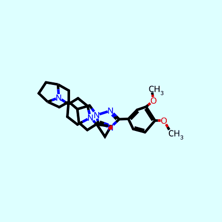 COc1ccc(-c2nc3n(n2)CC(C2CC4CCC(C2)N4C2CCN(C4CC4)CC2)CC3)cc1OC